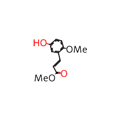 COC(=O)/C=C/c1cc(O)ccc1OC